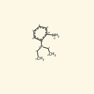 CCP(CC)c1ccccc1N